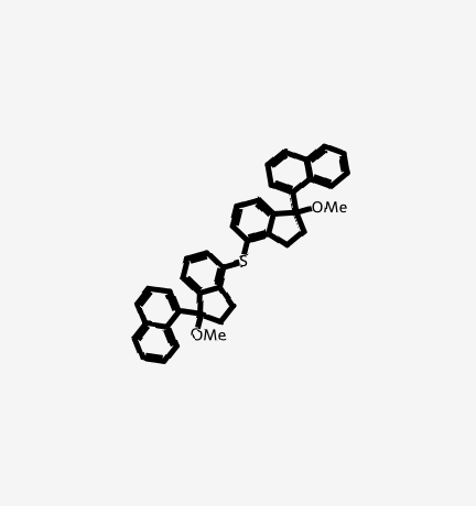 COC1(c2cccc3ccccc23)CCc2c(Sc3cccc4c3CCC4(OC)c3cccc4ccccc34)cccc21